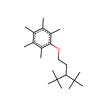 Cc1c(C)c(C)c(OCCC(C(C)(C)C)C(C)(C)C)c(C)c1C